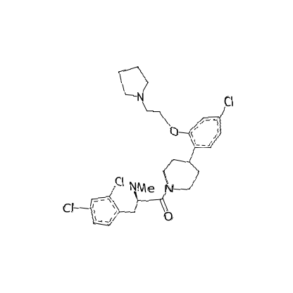 CN[C@H](Cc1ccc(Cl)cc1Cl)C(=O)N1CCC(c2ccc(Cl)cc2OCCN2CCCC2)CC1